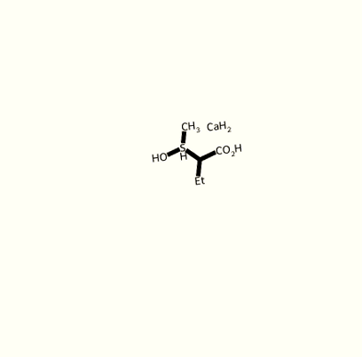 CCC(C(=O)O)[SH](C)O.[CaH2]